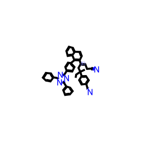 CCC(C)(C/C(=C\CC#N)c1ccc2ccccc2c1-c1ccc(-c2nc(-c3ccccc3)nc(-c3ccccc3)n2)cc1)c1ccc(C#N)cc1